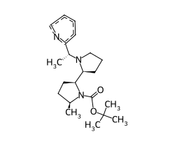 C[C@H](c1ccccn1)N1CCC[C@H]1[C@@H]1CC[C@H](C)N1C(=O)OC(C)(C)C